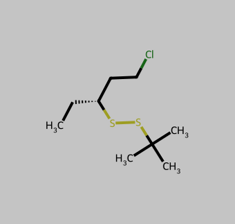 CC[C@H](CCCl)SSC(C)(C)C